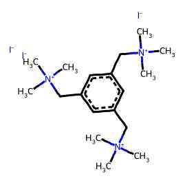 C[N+](C)(C)Cc1cc(C[N+](C)(C)C)cc(C[N+](C)(C)C)c1.[I-].[I-].[I-]